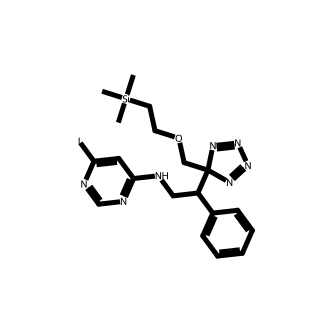 C[Si](C)(C)CCOCC1(C(CNc2cc(I)ncn2)c2ccccc2)N=NN=N1